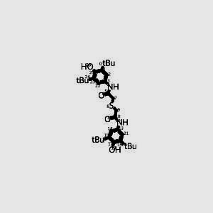 CC(C)(C)c1cc(NC(=O)CSCC(=O)Nc2cc(C(C)(C)C)c(O)c(C(C)(C)C)c2)cc(C(C)(C)C)c1O